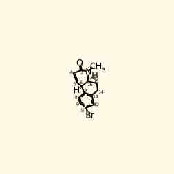 CN1C(=O)C=C[C@H]2c3ccc(Br)cc3CC[C@@H]21